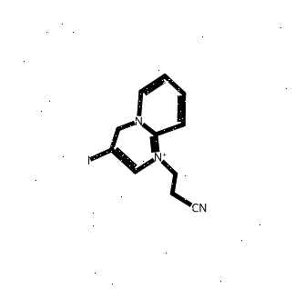 N#CCC[N+]1=C2C=CC=CN2CC(I)=C1